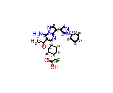 CC(=O)c1c(N)n2ncc(-c3cnn(-c4ccccc4)c3)c2nc1[C@H]1CC[C@@H](C(F)C(=O)O)CC1